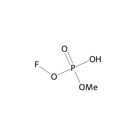 COP(=O)(O)OF